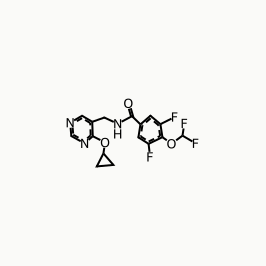 O=C(NCc1cncnc1OC1CC1)c1cc(F)c(OC(F)F)c(F)c1